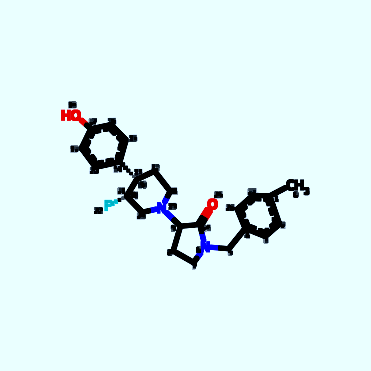 Cc1ccc(CN2CCC(N3CC[C@@H](c4ccc(O)cc4)[C@@H](F)C3)C2=O)cc1